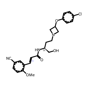 COc1ccc(C#N)cc1/C=C/C(=O)N[C@H](CO)CCN1CC(Oc2ccc(Cl)cc2)C1